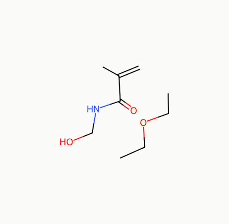 C=C(C)C(=O)NCO.CCOCC